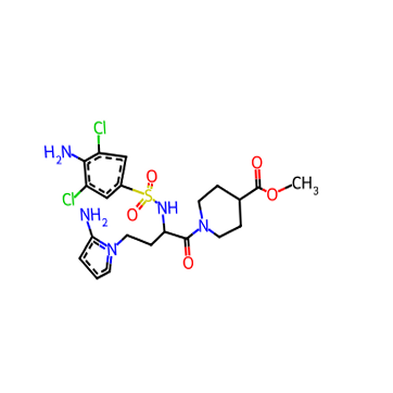 COC(=O)C1CCN(C(=O)C(CCn2cccc2N)NS(=O)(=O)c2cc(Cl)c(N)c(Cl)c2)CC1